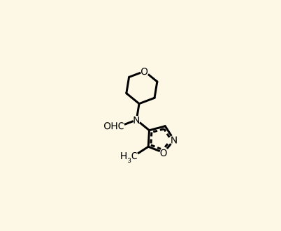 Cc1oncc1N(C=O)C1CCOCC1